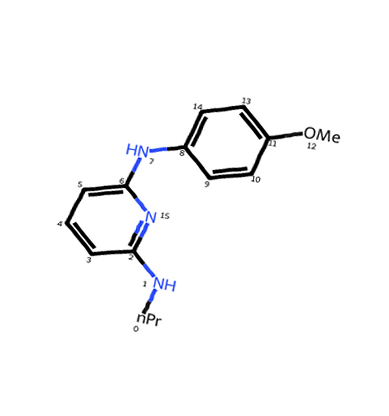 CCCNc1cccc(Nc2ccc(OC)cc2)n1